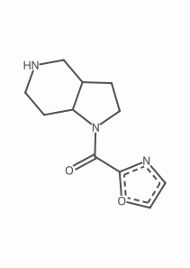 O=C(c1ncco1)N1CCC2CNCCC21